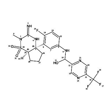 CN1C(=N)N[C@@]2(c3cc(NC(O)c4cnc(C(F)(F)F)cn4)ccc3F)CCC[C@H]2S1(=O)=O